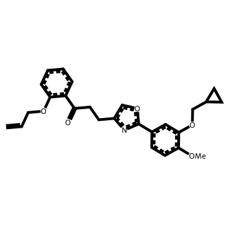 C=CCOc1ccccc1C(=O)CCc1coc(-c2ccc(OC)c(OCC3CC3)c2)n1